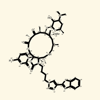 CC[C@H]1OC(=O)[C@H](C)C(=O)[C@@H](C)[C@@H](O[C@@H]2O[C@H](C)CC(N(C)C)C2O)[C@](C)(OC)C[C@@H](C)CN[C@H](C)[C@H]2N(CCCCn3cc(-c4nc5ccccc5s4)nn3)C(=O)O[C@]12n1ccc(N)nc1=O